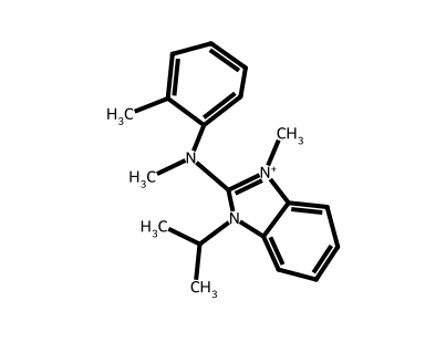 Cc1ccccc1N(C)c1n(C(C)C)c2ccccc2[n+]1C